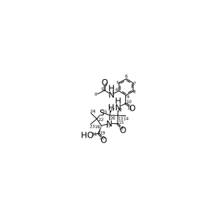 CC(=O)Nc1ccccc1C(=O)NC1(C)C(=O)N2[C@@H](C(=O)O)C(C)(C)S[C@@H]21